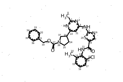 Cc1nc(Nc2ncc(C(=O)Nc3c(C)cccc3Cl)s2)cc(C2CCN(C(=O)OCc3ccccc3)C2)n1